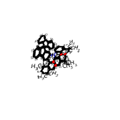 Cc1ccc2c(c1-c1cc3c(cc1N(c1cccc4c1C(C)(C)CCC4(C)C)c1cccc4c1C(C)(C)CCC4(C)C)C1(c4ccccc4-c4ccccc41)c1ccccc1-3)C(C)(C)CCC2(C)C